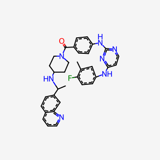 Cc1cc(Nc2ccnc(Nc3ccc(C(=O)N4CCC(NC(C)c5ccc6cccnc6c5)CC4)cc3)n2)ccc1F